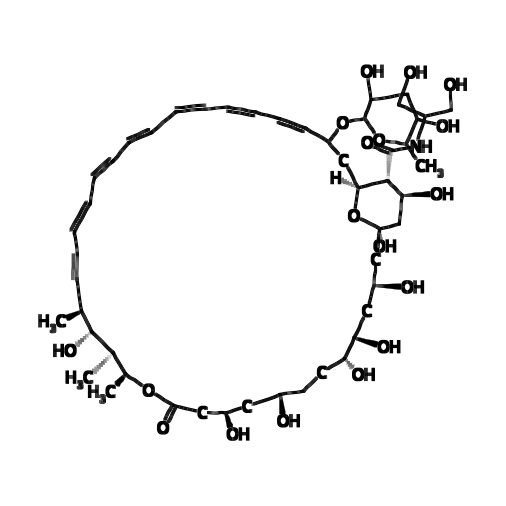 CC1OC(OC2/C=C/C=C/C=C/C=C/C=C/C=C/C=C/[C@H](C)[C@@H](O)[C@@H](C)[C@H](C)OC(=O)C[C@H](O)C[C@H](O)CC[C@@H](O)[C@H](O)C[C@H](O)C[C@]3(O)C[C@H](O)[C@@H](C(=O)NC(CO)CO)[C@H](C2)O3)C(O)CC1O